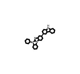 c1ccc(-n2c3ccccc3n3c4ccc(-c5ccc6[nH]c7ccccc7c6c5)cc4nc23)cc1